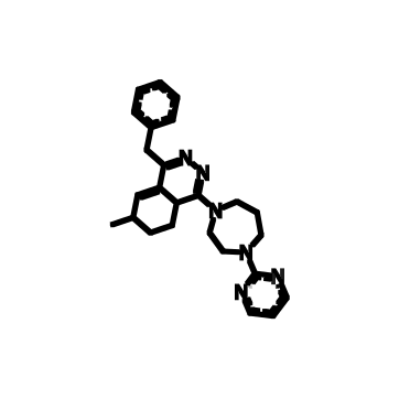 CC1C=C2C(Cc3ccccc3)=NN=C(N3CCCN(c4ncccn4)CC3)C2CC1